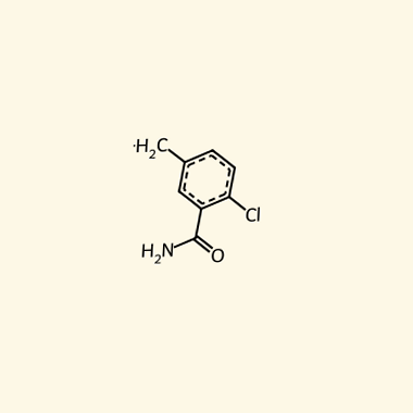 [CH2]c1ccc(Cl)c(C(N)=O)c1